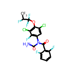 NC(=O)N(C(=O)c1c(F)cccc1F)c1cc(Cl)c(OC(F)(F)C(F)C(F)(F)F)c(Cl)c1F